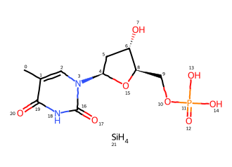 Cc1cn([C@H]2C[C@H](O)[C@@H](COP(=O)(O)O)O2)c(=O)[nH]c1=O.[SiH4]